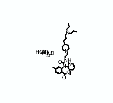 CCCN(CCC)CCCC1CCN(CCNC(=O)N2c3cc(C)ccc3C(=O)Nc3cccnc32)CC1.Cl.Cl.Cl.O.O